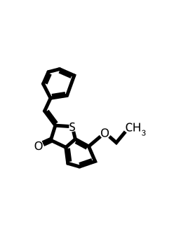 CCOc1cccc2c1SC(=Cc1ccccc1)C2=O